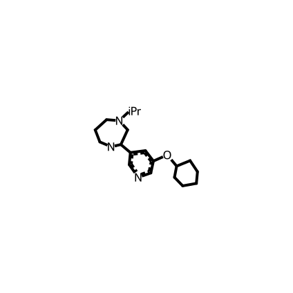 CC(C)N1CCC[N]C(c2cncc(OC3CCCCC3)c2)C1